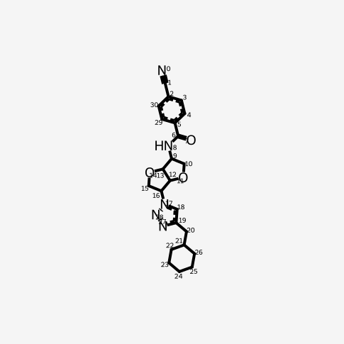 N#Cc1ccc(C(=O)NC2COC3C2OCC3n2cc(CC3CCCCC3)nn2)cc1